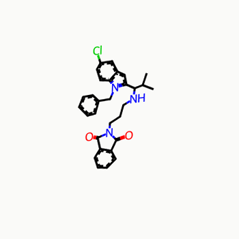 CC(C)C(NCCCN1C(=O)c2ccccc2C1=O)c1cc2cc(Cl)ccc2n1Cc1ccccc1